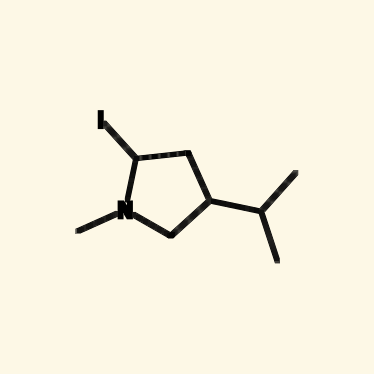 CC(C)C1CC(I)N(C)C1